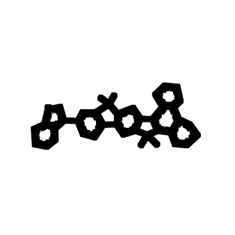 CC1(C)c2cc(-c3csc4ccccc34)ccc2-c2cc3c(cc21)-c1c(c2ccccc2c2ccccc12)C3(C)C